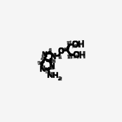 Nc1ncc2ncn(COC(CO)CO)c2n1